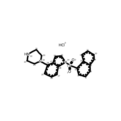 Cl.O=S(=O)(c1cccc2ccccc12)n1ccc2c(N3CCNCC3)cccc21